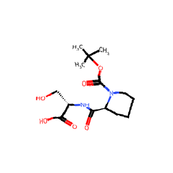 CC(C)(C)OC(=O)N1CCCC[C@H]1C(=O)N[C@@H](CO)C(=O)O